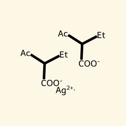 CCC(C(C)=O)C(=O)[O-].CCC(C(C)=O)C(=O)[O-].[Ag+2]